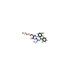 CCO/C=C/c1cn2c(nc1=O)[C@H](C)N=C(c1c(F)cccc1F)c1c-2ccc(Cl)c1Cl